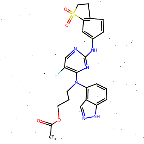 O=C(OCCCN(c1nc(Nc2ccc3c(c2)S(=O)(=O)CC3)ncc1F)c1cccc2[nH]ncc12)C(F)(F)F